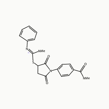 CNC(=O)c1ccc(N2C(=O)CC(S/C(=N/c3ccccc3)NC)C2=O)cc1